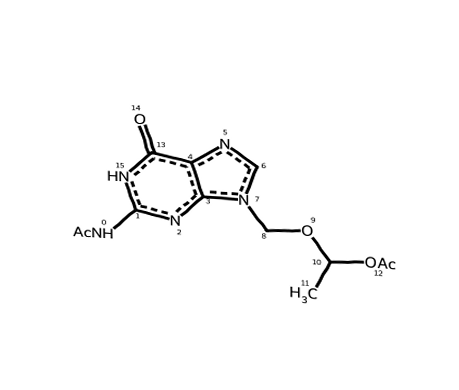 CC(=O)Nc1nc2c(ncn2COC(C)OC(C)=O)c(=O)[nH]1